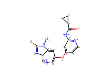 CCC1N=C(Br)N(C)/C1=C/C(=C\N)Oc1ccnc(NC(=O)C2CC2)c1